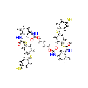 Cc1ccc(NC(=O)OCCCCOC(=O)Nc2ccc(C)c(NC(=O)Sc3ccc(Sc4ccc(S)cc4)cc3)c2)cc1NC(=O)Sc1ccc(Sc2ccc(S)cc2)cc1